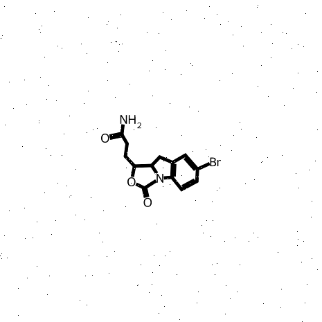 NC(=O)CCC1OC(=O)N2c3ccc(Br)cc3CC12